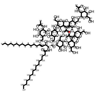 CCCCCCCCCCCCC/C=C/[C@@H](O)[C@H](CO[C@@H]1OC(CO)[C@@H](O[C@@H]2OC(CO)[C@H](O)[C@H](O[C@@H]3OC(CO)[C@@H](O)[C@H](O[C@@H]4OC(CO[C@@H]5OC(CO)[C@@H](O)[C@H](O)C5NC(C)=O)[C@H](O)[C@H](O[C@@H]5OC(CO)[C@@H](O)[C@H](O[C@@H]6OC(CO)[C@H](O)[C@H](O[C@H]7OC(CO)[C@H](O)[C@H](O)C7NC(C)=O)C6O)C5NC(C)=O)C4O)C3NC(C)=O)C2O)[C@H](O)C1O)NC(=O)CCCCCCCCCCCCCCC